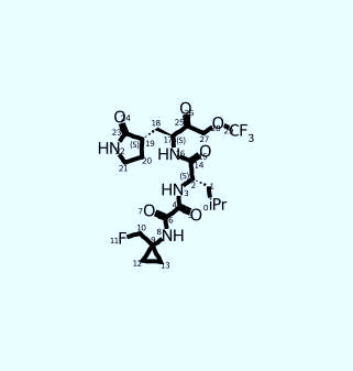 CC(C)C[C@H](NC(=O)C(=O)NC1(CF)CC1)C(=O)N[C@@H](C[C@@H]1CCNC1=O)C(=O)COC(F)(F)F